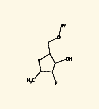 CC(C)OCC1SC(C)C(F)C1O